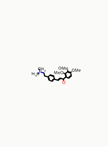 COc1ccc(C(=O)C=Cc2ccc(CCN(C)C)cc2)c(OC)c1OC